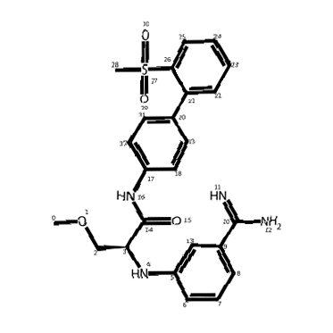 COC[C@H](Nc1cccc(C(=N)N)c1)C(=O)Nc1ccc(-c2ccccc2S(C)(=O)=O)cc1